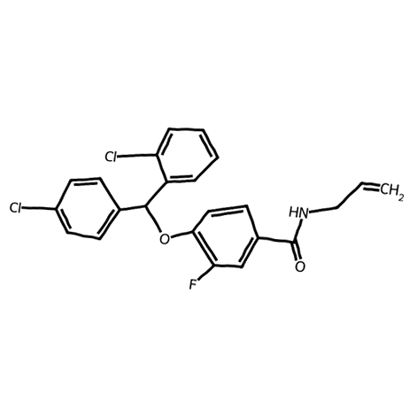 C=CCNC(=O)c1ccc(OC(c2ccc(Cl)cc2)c2ccccc2Cl)c(F)c1